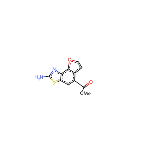 COC(=O)c1cc2sc(N)nc2c2occc12